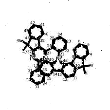 CC1(C)c2ccccc2-c2c1ccc1c3ccccc3n(-c3ccccc3-c3nc(-c4ccccc4)nc4c3-c3ccccc3C4(C)C)c21